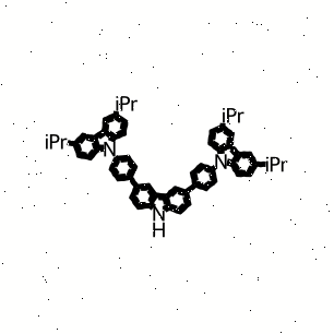 CC(C)c1ccc2c(c1)c1cc(C(C)C)ccc1n2-c1ccc(-c2ccc3[nH]c4ccc(-c5ccc(-n6c7ccc(C(C)C)cc7c7cc(C(C)C)ccc76)cc5)cc4c3c2)cc1